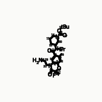 Cc1cc2c(cc1C(=O)N(C(C)C)[C@@H]1CCCN(C(=O)OC(C)(C)C)C1)N(CCN)C(=O)C(F)(F)O2